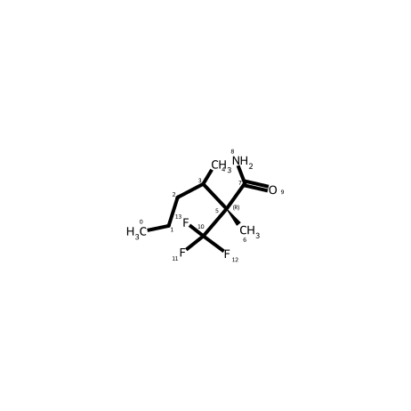 CCCC(C)[C@](C)(C(N)=O)C(F)(F)F